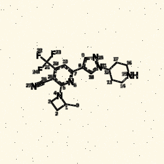 CC1CCN1c1nc(-c2cnn(C3CCNCC3)c2)cc(C(F)(F)F)c1C#N